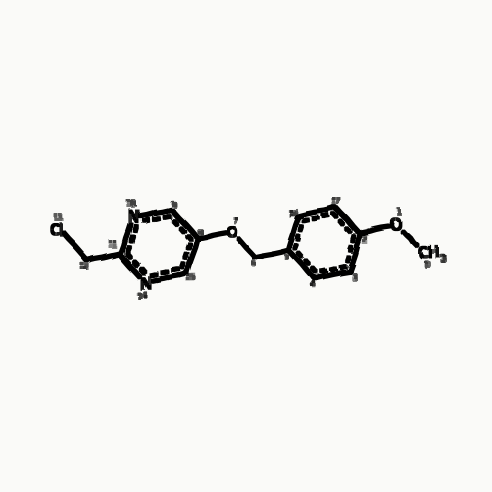 COc1ccc(COc2cnc(CCl)nc2)cc1